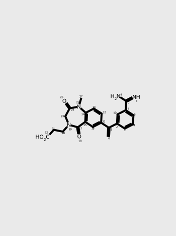 C=C(c1cccc(C(=N)N)c1)c1ccc2c(c1)C(=O)N(CCC(=O)O)CC(=O)N2C